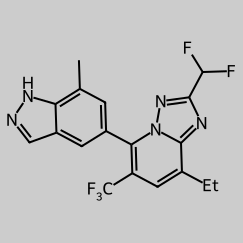 CCc1cc(C(F)(F)F)c(-c2cc(C)c3[nH]ncc3c2)n2nc(C(F)F)nc12